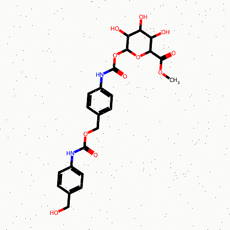 COC(=O)C1OC(OC(=O)Nc2ccc(COC(=O)Nc3ccc(CO)cc3)cc2)C(O)C(O)C1O